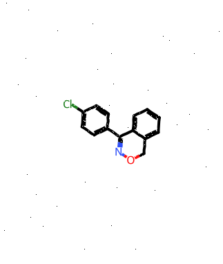 Clc1ccc(C2=NOCc3ccccc32)cc1